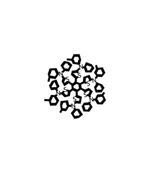 Cc1cccc(N(c2ccccc2)c2ccc(-c3c(-c4ccc(N(c5ccccc5)c5cccc(C)c5)s4)c(-c4ccc(N(c5ccccc5)c5cccc(C)c5)s4)c(-c4ccc(N(c5ccccc5)c5cccc(C)c5)s4)c(-c4ccc(N(c5ccccc5)c5cccc(C)c5)s4)c3-c3ccc(N(c4ccccc4)c4cccc(C)c4)s3)s2)c1